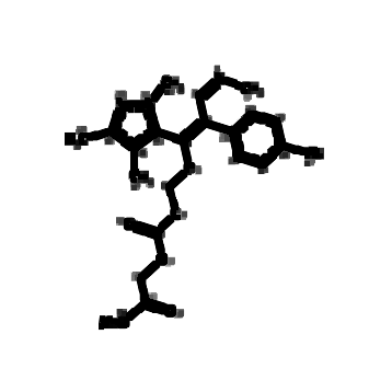 C/N=C\C(=C(\OCOC(=O)OCC(=O)OC)c1c(C)c(C)nn1C)c1ccc(C(C)(C)C)cc1